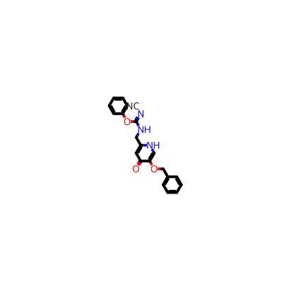 N#CN=C(NCc1cc(=O)c(OCc2ccccc2)c[nH]1)Oc1ccccc1